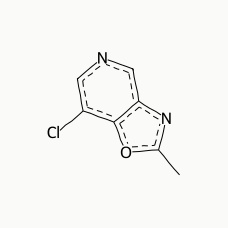 Cc1nc2cncc(Cl)c2o1